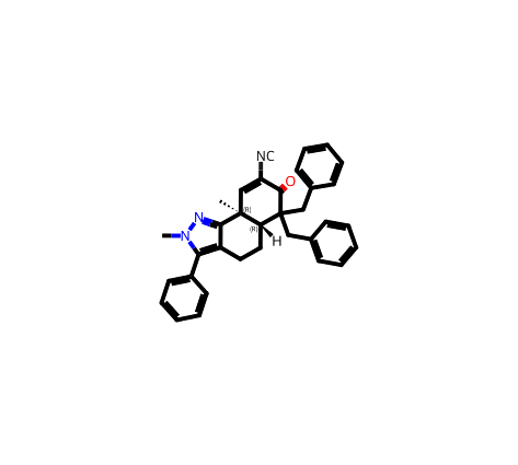 [C-]#[N+]C1=C[C@]2(C)c3nn(C)c(-c4ccccc4)c3CC[C@H]2C(Cc2ccccc2)(Cc2ccccc2)C1=O